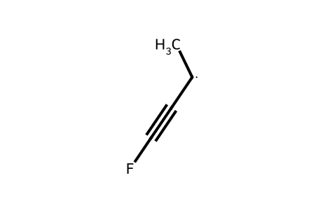 C[CH]C#CF